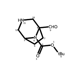 CC(C)(C)OC(=O)N1C2CCC1(C=O)CNC2